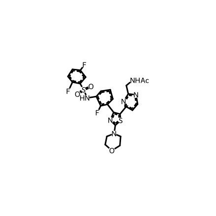 CC(=O)NCc1nccc(-c2sc(N3CCOCC3)nc2-c2cccc(NS(=O)(=O)c3cc(F)ccc3F)c2F)n1